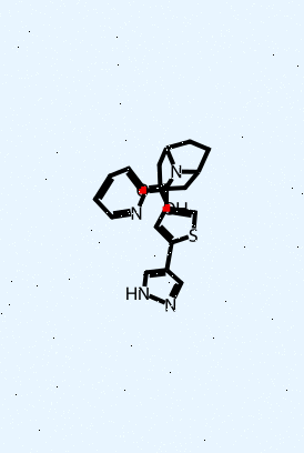 O=C(c1csc(-c2cn[nH]c2)c1)N1C2CCC1CC(O)(c1ccccn1)C2